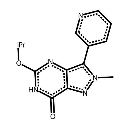 CC(C)Oc1nc2c(-c3cccnc3)n(C)nc2c(=O)[nH]1